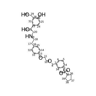 O=S(=O)(c1cccc(COCCOc2ccc(CCNC[C@H](O)c3ccc(O)c(CO)c3)cc2)c1)C1CCCC1